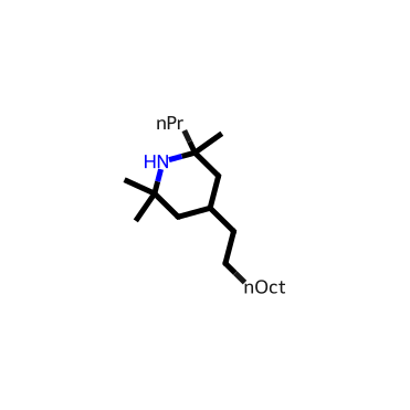 CCCCCCCCCCC1CC(C)(C)NC(C)(CCC)C1